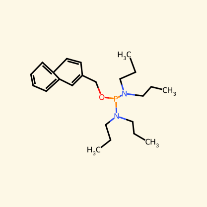 CCCN(CCC)P(OCc1ccc2ccccc2c1)N(CCC)CCC